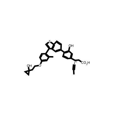 CC#C[C@@H](CC(=O)O)c1ccc(-c2ccc3scc(-c4ccc(OCCC5(O)CC5)cc4C)c3c2)c(O)c1